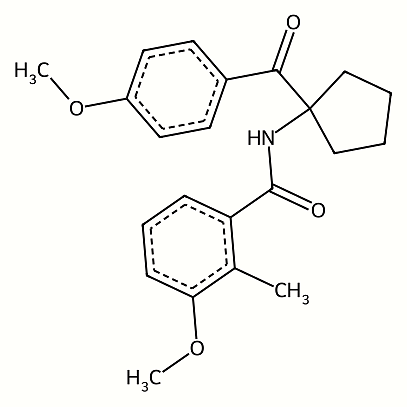 COc1ccc(C(=O)C2(NC(=O)c3cccc(OC)c3C)CCCC2)cc1